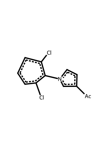 CC(=O)c1ccn(-c2c(Cl)cccc2Cl)c1